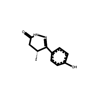 C[C@@H]1CC(=O)NN=C1c1ccc(O)cc1